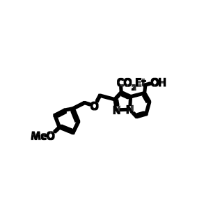 CCOC(=O)c1c(COCc2ccc(OC)cc2)nn2cccc(CO)c12